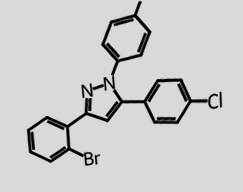 Clc1ccc(-c2cc(-c3ccccc3Br)nn2-c2ccc(Cl)cc2)cc1